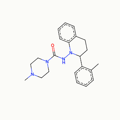 Cc1ccccc1C1CCc2ccccc2N1NC(=O)N1CCN(C)CC1